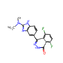 CCN(C(=O)O)c1nc2cc(-c3n[nH]c(=O)c4c(F)ccc(F)c34)ccc2[nH]1